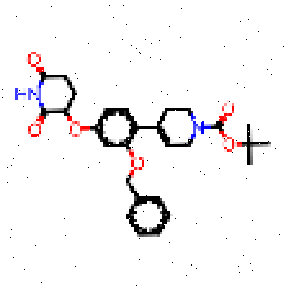 CC(C)(C)OC(=O)N1CC=C(c2ccc(OC3CCC(=O)NC3=O)cc2OCc2ccccc2)CC1